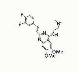 COc1cc2nc(C=Cc3ccc(F)c(F)c3)nc(NCCN(C)C)c2cc1OC